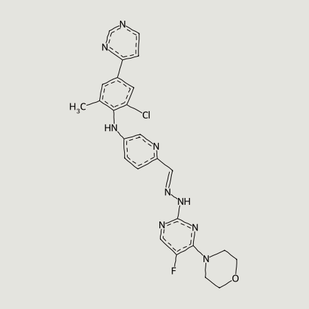 Cc1cc(-c2ccncn2)cc(Cl)c1Nc1ccc(/C=N/Nc2ncc(F)c(N3CCOCC3)n2)nc1